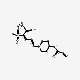 C=CC(=O)OC1CCN(/C=C/C=C(\C(=O)OC)S(C)(=O)=O)CC1